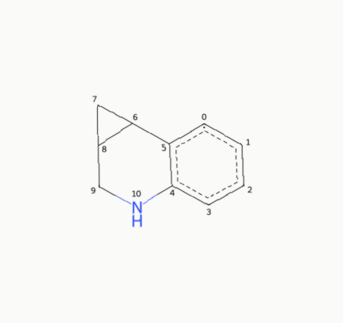 [c]1cccc2c1C1CC1CN2